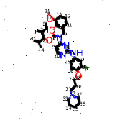 CCC(C)C(OC(=O)N(Cc1cccc(OC)c1)c1ccnc(Nc2ccc(OCCCN3CCCCC3)c(F)c2)n1)C(C)C